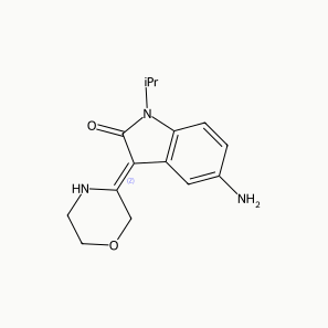 CC(C)N1C(=O)/C(=C2/COCCN2)c2cc(N)ccc21